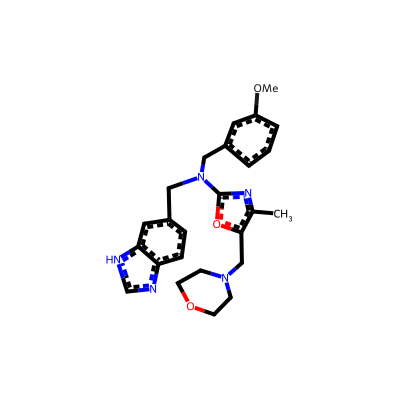 COc1cccc(CN(Cc2ccc3nc[nH]c3c2)c2nc(C)c(CN3CCOCC3)o2)c1